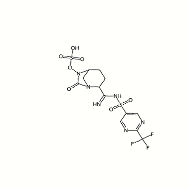 N=C(NS(=O)(=O)c1cnc(C(F)(F)F)nc1)C1CCC2CN1C(=O)N2OS(=O)(=O)O